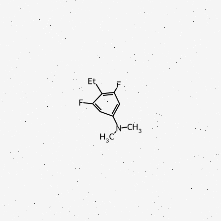 CCc1c(F)cc(N(C)C)cc1F